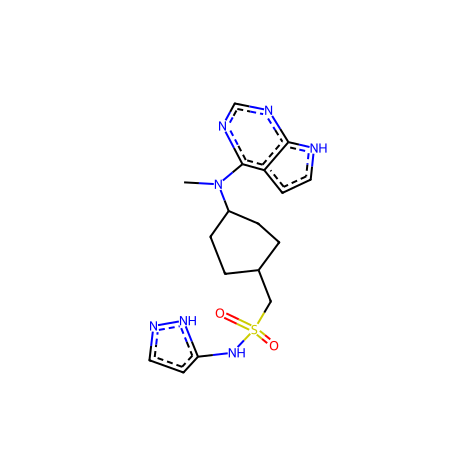 CN(c1ncnc2[nH]ccc12)C1CCC(CS(=O)(=O)Nc2ccn[nH]2)CC1